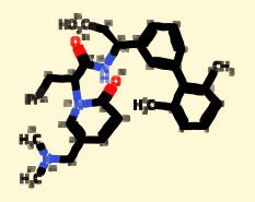 Cc1cccc(C)c1-c1cccc([C@H](CC(=O)O)NC(=O)C(CC(C)C)n2cc(CN(C)C)ccc2=O)c1